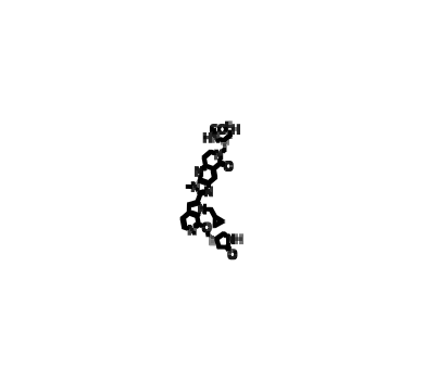 Cn1c(-c2cc3ccnc(OC[C@@H]4CNC(=O)C4)c3n2CC2CC2)nc2cc3c(nc21)CCN(C[C@@H](CF)NC(=O)O)C3=O